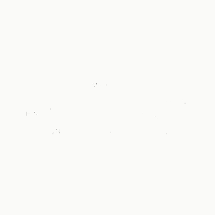 COc1cc(C(=O)OC(C)(C)C)ccc1-c1ccc(N)nc1